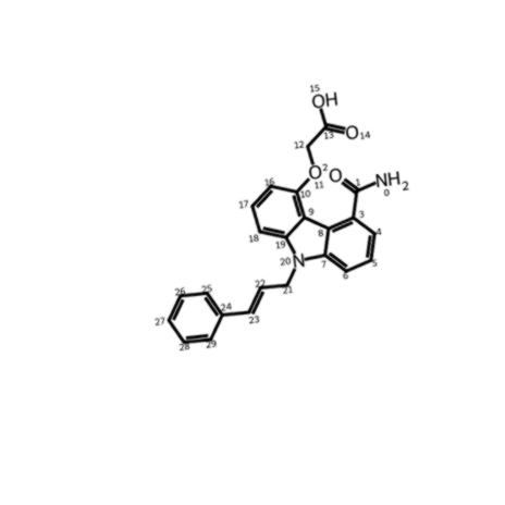 NC(=O)c1cccc2c1c1c(OCC(=O)O)cccc1n2C/C=C/c1ccccc1